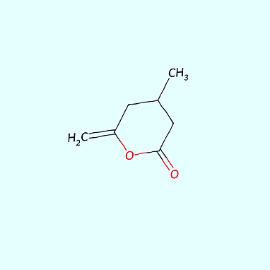 C=C1CC(C)CC(=O)O1